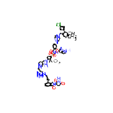 CC1(C)CCC(CN2CCN(c3ccc(C(=O)NS(=O)(=O)c4ccc(NCC5CCN(Cc6cn(CC#Cc7cccc8c7CN(C7CCC(=O)NC7=O)C8=O)nn6)CC5)c([N+](=O)[O-])c4)c(Oc4cnc5[nH]ccc5c4)c3)CC2)=C(c2ccc(Cl)cc2)C1